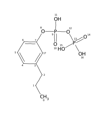 CCCc1cccc(OP(=O)(O)OP(=O)(O)O)c1